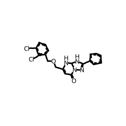 O=C1C=C(COCc2cccc(Cl)c2Cl)NC2NC(c3ccccc3)=NN12